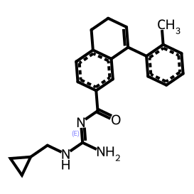 Cc1ccccc1C1=CCCc2ccc(C(=O)/N=C(\N)NCC3CC3)cc21